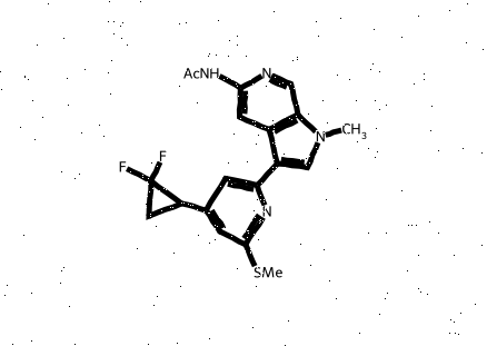 CSc1cc(C2CC2(F)F)cc(-c2cn(C)c3cnc(NC(C)=O)cc23)n1